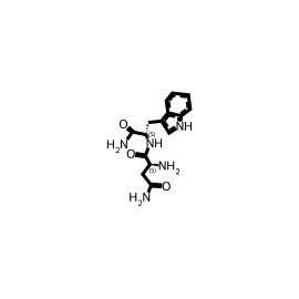 NC(=O)C[C@H](N)C(=O)N[C@@H](Cc1c[nH]c2ccccc12)C(N)=O